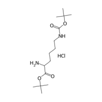 CC(C)(C)OC(=O)NCCCCC(N)C(=O)OC(C)(C)C.Cl